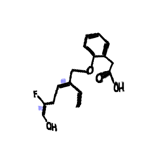 C=C/C(=C\C/C(F)=C\O)COc1ccccc1CC(=O)O